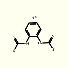 S=C([S-])Nc1ccccc1NC(=S)[S-].[Ni+2]